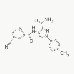 Cc1ccc(-n2cc(NC(=O)c3cc(C#N)ccn3)c(C(N)=O)n2)cc1